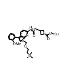 COc1ccccc1-c1cn(COCC[Si](C)(C)C)c2nc(NC(=O)NC3CN(C(=O)OC(C)(C)C)C3)ccc12